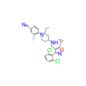 CCC1CC(NCc2c(-c3c(Cl)cccc3Cl)noc2C2CC2)CCN1c1ccc(C#N)cc1F